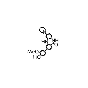 COc1cc(-c2ccc3c(c2)Nc2cc(N4CCCCC4)ccc2NC3=O)ccc1O